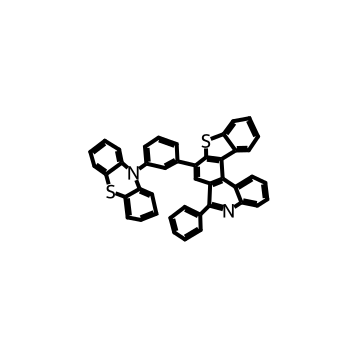 c1ccc(-c2nc3ccccc3c3c2cc(-c2cccc(N4c5ccccc5Sc5ccccc54)c2)c2sc4ccccc4c23)cc1